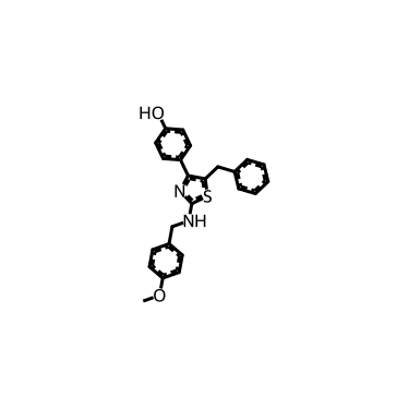 COc1ccc(CNc2nc(-c3ccc(O)cc3)c(Cc3ccccc3)s2)cc1